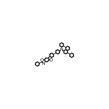 c1ccc(-c2ccc(N(c3ccc(-c4ccc5c(c4)oc4cc6nc(-c7ccccc7)oc6cc45)cc3)c3ccccc3-c3ccccc3)cc2)cc1